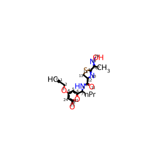 C#CCOc1cc(C(CCC)NC(=O)C2CSC(/C(C)=N/O)=N2)oc(=O)c1